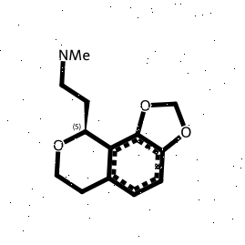 CNCC[C@@H]1OCCc2ccc3c(c21)OCO3